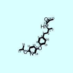 CC(CCc1ccc(Oc2ccc(OC(C)C)nc2)cc1)NC1OC1C